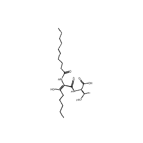 CCCCCCCCCC(=O)NC(C(=O)NC(C(=O)O)C(C)O)=C(O)CCCCC